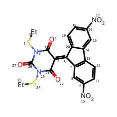 CCSN1C(=O)C(=C2c3cc([N+](=O)[O-])ccc3-c3cc([N+](=O)[O-])ccc32)C(=O)N(SCC)C1=O